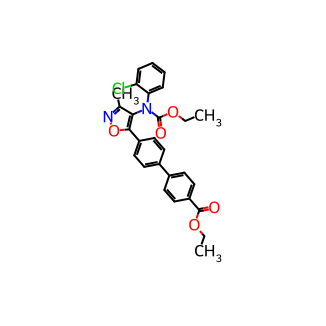 CCOC(=O)c1ccc(-c2ccc(-c3onc(C)c3N(C(=O)OCC)c3ccccc3Cl)cc2)cc1